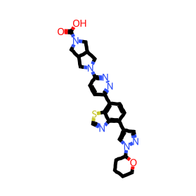 O=C(O)N1CC2CN(c3ccc(-c4ccc(-c5cnn(C6CCCCO6)c5)c5ncsc45)nn3)CC2C1